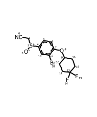 N#CC[S+]([O-])c1ccc(OC2CCC(F)(F)CC2)c(Br)c1